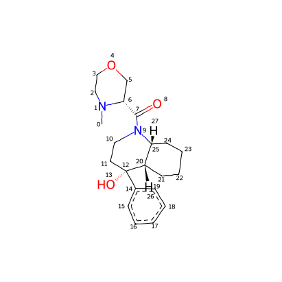 CN1CCOC[C@@H]1C(=O)N1CC[C@](O)(c2ccccc2)[C@H]2CCCC[C@H]21